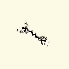 CCC(C)(CC)O[SiH2]CCCC[SiH2]OC(C)(CC)CC